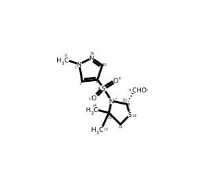 Cn1cc(S(=O)(=O)N2[C@H]([C]=O)SCC2(C)C)cn1